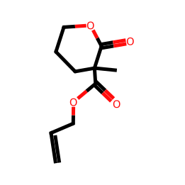 C=CCOC(=O)C1(C)CCCOC1=O